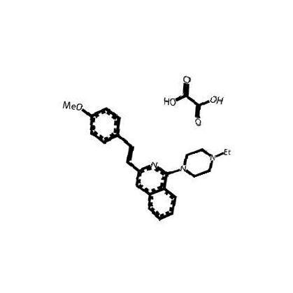 CCN1CCN(c2nc(C=Cc3ccc(OC)cc3)cc3ccccc23)CC1.O=C(O)C(=O)O